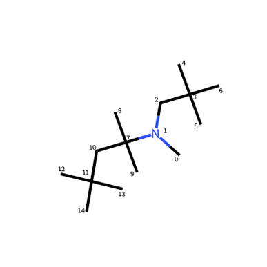 CN(CC(C)(C)C)C(C)(C)CC(C)(C)C